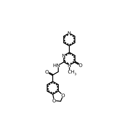 Cn1c(NCC(=O)c2ccc3c(c2)OCO3)nc(-c2ccncc2)cc1=O